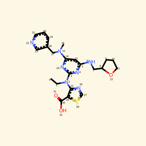 CCN(c1nc(NCC2CCCO2)cc(N(C)Cc2cccnc2)n1)c1ncsc1C(=O)O